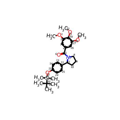 COc1cc(C(=O)N2CC[CH]C2c2ccc(O[Si](C)(C)C(C)(C)C)cc2)cc(OC)c1OC